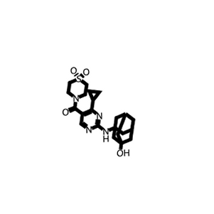 O=C(c1cnc(NC23CC4CC(CC(O)(C4)C2)C3)nc1C1CC1)N1CCS(=O)(=O)CC1